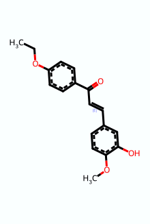 CCOc1ccc(C(=O)/C=C/c2ccc(OC)c(O)c2)cc1